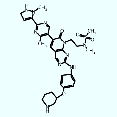 Cc1nc(C2=CCNN2C)ncc1-c1cc2cnc(Nc3ccc(OC4CCCNC4)cc3)nc2n(CCN(C)S(C)(=O)=O)c1=O